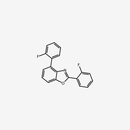 Fc1ccccc1-c1nc2c(-c3ccccc3F)cccc2o1